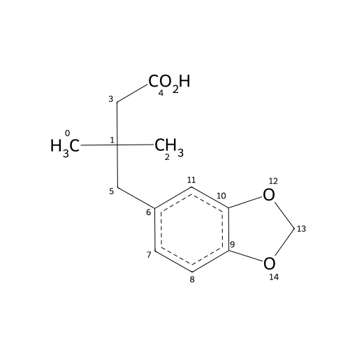 CC(C)(CC(=O)O)Cc1ccc2c(c1)OCO2